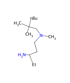 CCCCC(C)(C)CN(C)CCC(N)CC